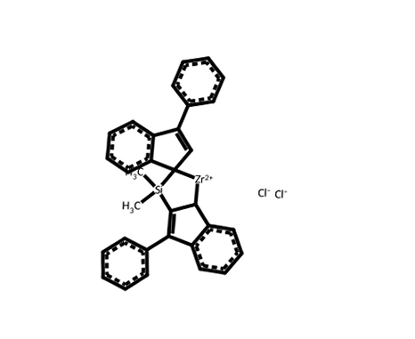 C[Si]1(C)C2=C(c3ccccc3)c3ccccc3[CH]2[Zr+2][C]12C=C(c1ccccc1)c1ccccc12.[Cl-].[Cl-]